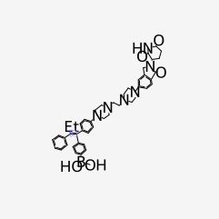 CC/C(=C(/c1ccc(B(O)O)cc1)c1ccc(N2CCN(CCN3CCN(c4ccc5c(c4)CN(C4CCC(=O)NC4=O)C5=O)CC3)CC2)cc1)c1ccccc1